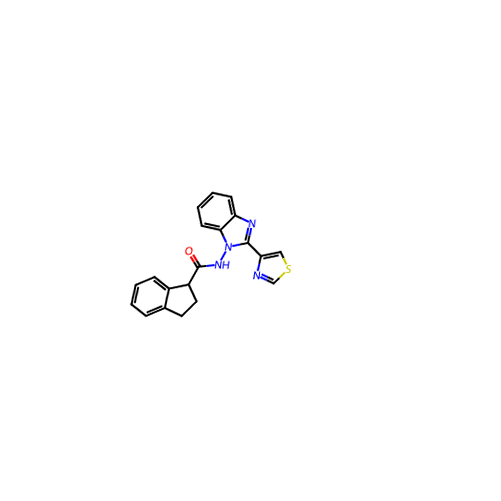 O=C(Nn1c(-c2cscn2)nc2ccccc21)C1CCc2ccccc21